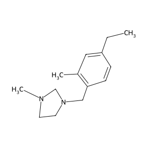 CCc1ccc(CN2CCN(C)C2)c(C)c1